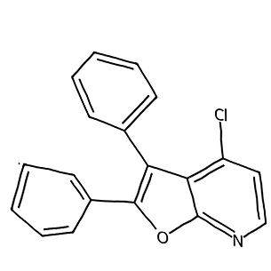 Clc1ccnc2oc(-c3c[c]ccc3)c(-c3ccccc3)c12